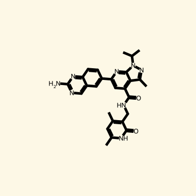 Cc1cc(C)c(CNC(=O)c2cc(-c3ccc4nc(N)ncc4c3)nc3c2c(C)nn3C(C)C)c(=O)[nH]1